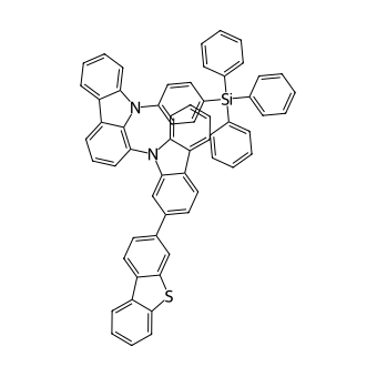 c1ccc([Si](c2ccccc2)(c2ccccc2)c2ccc(-n3c4ccccc4c4cccc(-n5c6ccccc6c6ccc(-c7ccc8c(c7)sc7ccccc78)cc65)c43)cc2)cc1